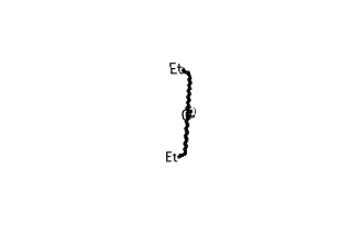 CC/C=C/C=C\CCCCCCCCCCCC(=O)OCCCCCCCCCC/C=C\C=C\CC